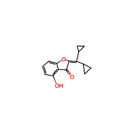 O=C1C(=C(C2CC2)C2CC2)Oc2cccc(O)c21